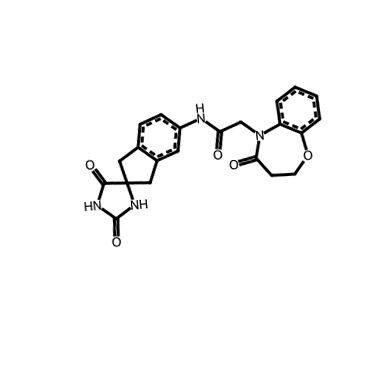 O=C(CN1C(=O)CCOc2ccccc21)Nc1ccc2c(c1)CC1(C2)NC(=O)NC1=O